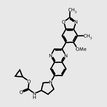 COc1c(-c2cnc3cc(N4CCC(NC(=O)OC5CC5)C4)ccc3n2)cc2oc(C)nc2c1C